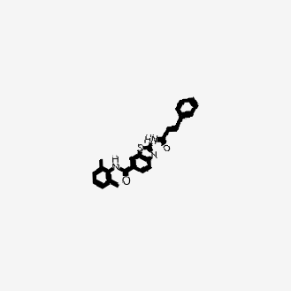 Cc1cccc(C)c1NC(=O)c1ccc2nc(NC(=O)CCc3ccccc3)sc2c1